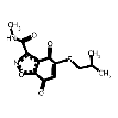 CNC(=O)c1noc2c1C(=O)C(SCC(C)C)=CC2=O